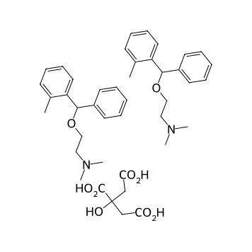 Cc1ccccc1C(OCCN(C)C)c1ccccc1.Cc1ccccc1C(OCCN(C)C)c1ccccc1.O=C(O)CC(O)(CC(=O)O)C(=O)O